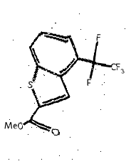 COC(=O)c1cc2c(C(F)(F)C(F)(F)F)cccc2s1